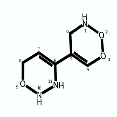 [CH]1NOOC=C1C1=CCONN1